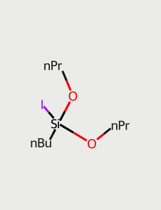 CCCC[Si](I)(OCCC)OCCC